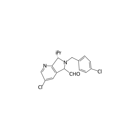 CC(C)[C@H]1c2ncc(Cl)cc2C(C=O)N1Cc1ccc(Cl)cc1